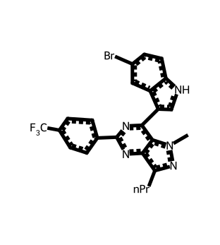 CCCc1nn(C)c2c(-c3c[nH]c4ccc(Br)cc34)nc(-c3ccc(C(F)(F)F)cc3)nc12